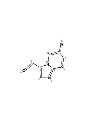 O=Cc1cnc2ncc(Br)cn12